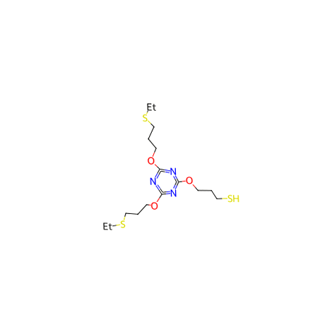 CCSCCCOc1nc(OCCCS)nc(OCCCSCC)n1